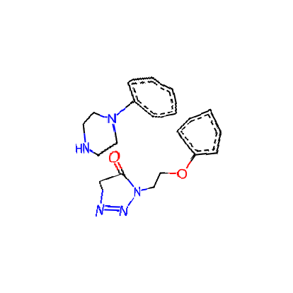 O=C1CN=NN1CCOc1ccccc1.c1ccc(N2CCNCC2)cc1